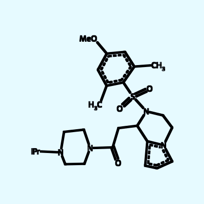 COc1cc(C)c(S(=O)(=O)N2CCn3cccc3C2CC(=O)N2CCN(C(C)C)CC2)c(C)c1